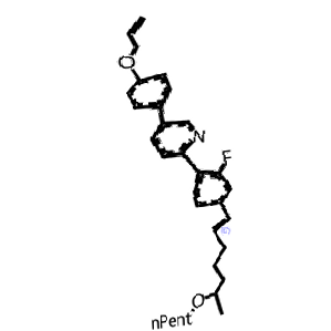 C=CCOc1ccc(-c2ccc(-c3ccc(/C=C/CCCC(C)OCCCCC)cc3F)nc2)cc1